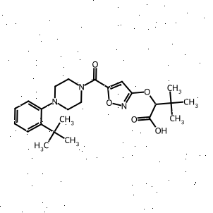 CC(C)(C)c1ccccc1N1CCN(C(=O)c2cc(OC(C(=O)O)C(C)(C)C)no2)CC1